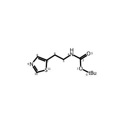 CC(C)(C)OC(=O)NCCc1cncs1